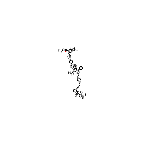 Cc1cc(S(=O)(=O)NC(=O)c2ccc(N3CCN(CC4=C(C56CC(C)(C5)C6)CC(C)(C)CC4)CC3)cc2)ccc1N[C@H](CCN1CCN(CCCC#Cc2cccc3c2CN(C2CCC(=O)NC2=O)C3=O)CC1)CSc1ccccc1